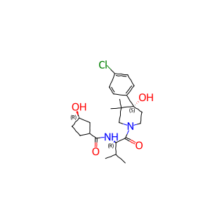 CC(C)[C@@H](NC(=O)C1CC[C@@H](O)C1)C(=O)N1CC[C@](O)(c2ccc(Cl)cc2)C(C)(C)C1